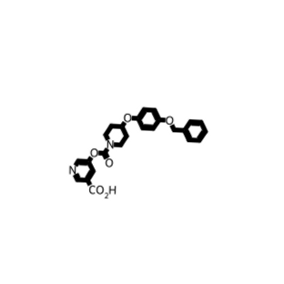 O=C(O)c1cncc(OC(=O)N2CCC(Oc3ccc(OCc4ccccc4)cc3)CC2)c1